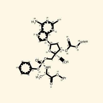 C#C[C@]1(CO[P@@](=O)(N[C@@H](C)C(=O)OC(C)C)Oc2ccccc2)O[C@@H](n2cnc3c(N)nc(F)nc32)C[C@@H]1OC(=O)OCCCCCC